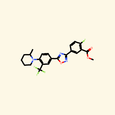 COC(=O)c1cc(-c2noc(-c3ccc(N4CCCCC4C)c(C(F)(F)F)c3)n2)ccc1F